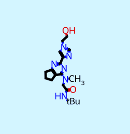 CN(CC(=O)NC(C)(C)C)c1nc(-c2cn(CCO)cn2)nc2c1CCC2